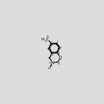 Cc1ccc2c(c1)CN(I)CO2